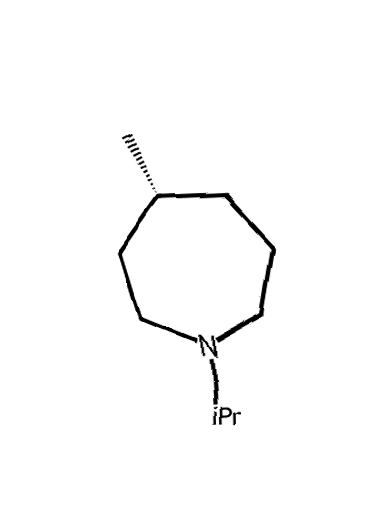 CC(C)N1CCC[C@@H](C)CC1